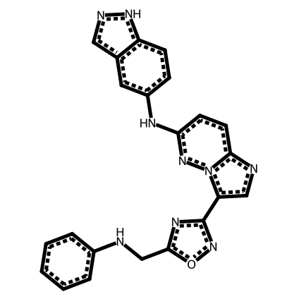 c1ccc(NCc2nc(-c3cnc4ccc(Nc5ccc6[nH]ncc6c5)nn34)no2)cc1